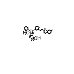 Cc1ccc2ccc(/C=C/c3cccc([C@@H](CCc4ccccc4C(C)(O)I)SCC4(CC(=O)O)CC4)c3)nc2c1